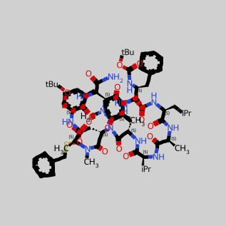 CC(C)C[C@H](NC(=O)CNC(=O)[C@H](Cc1ccccc1)N(C)C(=O)[C@H](C)NC(=O)[C@H](Cc1ccccc1)NC(=O)OC(C)(C)C)C(=O)N[C@@H](C)C(=O)N[C@H](C(=O)N[C@@H](Cc1ccccc1)C(=O)N[C@@H](CC(=O)OSCc1ccccc1)C(=O)N(C)[C@@H](C)C(=O)N[C@@H](COC(C)(C)C)C(=O)NCC(N)=O)C(C)C